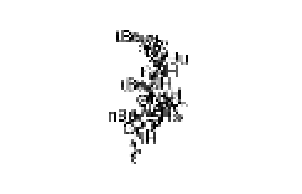 C=CCNC(=O)C(=O)C(CCCC)NC(=O)[C@@H]1[C@@H]2[C@H](CN1C(=O)[C@@H](NC(=O)N[C@H](CN(CCC(C)(C)C)S(C)(=O)=O)C(C)(C)C)C(C)(C)C)C2(C)C